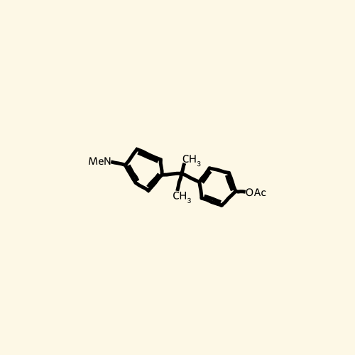 CNc1ccc(C(C)(C)c2ccc(OC(C)=O)cc2)cc1